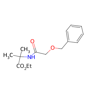 CCOC(=O)C(C)(C)NC(=O)COCc1ccccc1